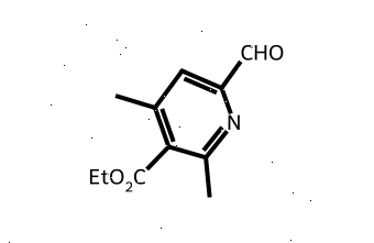 CCOC(=O)c1c(C)cc(C=O)nc1C